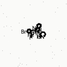 O=C1NCCCC[C@@H]1Nc1nc2ccccc2c2nc(-c3ccc(Br)cc3OC(F)(F)F)nn12